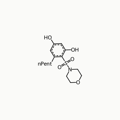 CCCCCc1cc(O)cc(O)c1S(=O)(=O)N1CCOCC1